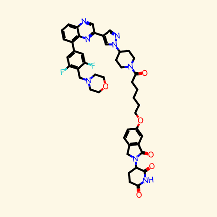 O=C1CCC(N2Cc3ccc(OCCCCCC(=O)N4CCC(n5cc(-c6cnc7cccc(-c8cc(F)c(CN9CCOCC9)c(F)c8)c7n6)cn5)CC4)cc3C2=O)C(=O)N1